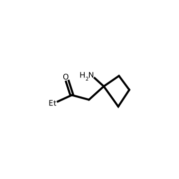 CCC(=O)CC1(N)CCC1